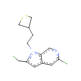 ClCc1cc2cc(Cl)ncc2n1CCC1CSC1